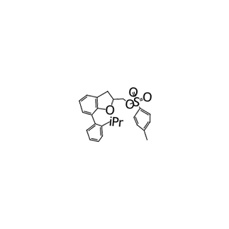 Cc1ccc(S(=O)(=O)OCC2Cc3cccc(-c4ccccc4C(C)C)c3O2)cc1